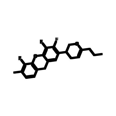 CCCC1=CCC(c2cc3c(c(F)c2F)Oc2c(ccc(C)c2F)C3)CO1